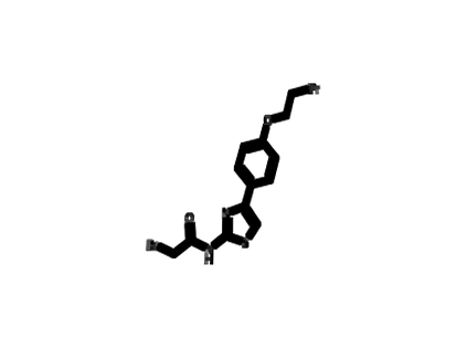 CC(C)CCOc1ccc(-c2csc(NC(=O)CBr)n2)cc1